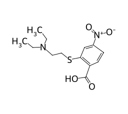 CCN(CC)CCSc1cc([N+](=O)[O-])ccc1C(=O)O